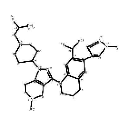 CC(=O)N1CCc2c(c(N3CCCc4cc(-c5cnn(C)c5)c(C(F)F)cc43)nn2C2CCN(CC(F)P)CC2)C1